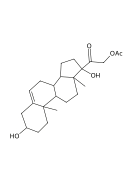 CC(=O)OCC(=O)C1(O)CCC2C3CC=C4CC(O)CCC4(C)C3CCC21C